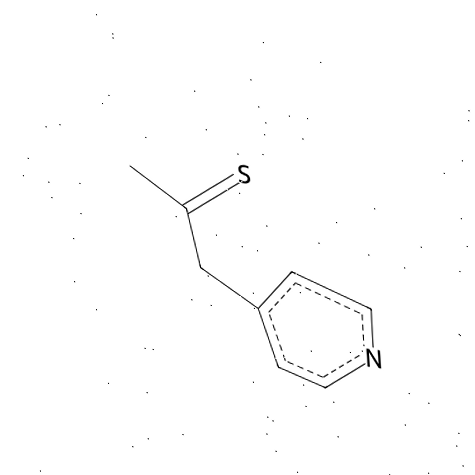 CC(=S)Cc1ccncc1